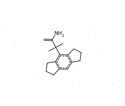 C=C(N)C(C)(C)c1c2c(cc3c1CCC3)CCC2